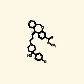 COC(=O)c1ccc2c(c1)OCc1ccccc1/C2=C/CCN1CCC(O)(c2ccc(Cl)cc2)CC1